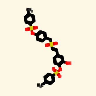 Cc1ccc(S(=O)(=O)Oc2ccc(CS(=O)(=O)/C=C/c3ccc(OS(=O)(=O)c4ccc(C)cc4)c(O)c3)cc2)cc1